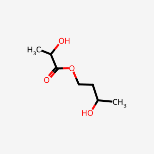 CC(O)CCOC(=O)C(C)O